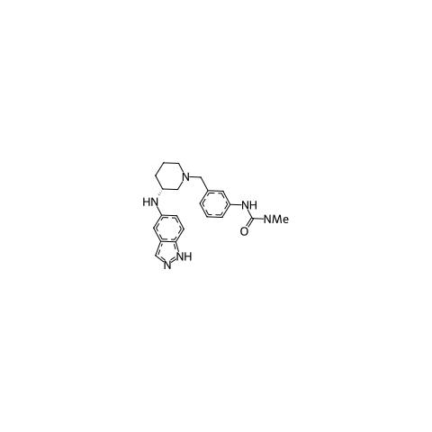 CNC(=O)Nc1cccc(CN2CCC[C@@H](Nc3ccc4[nH]ncc4c3)C2)c1